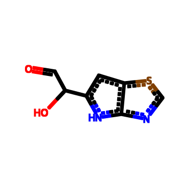 O=CC(O)c1cc2scnc2[nH]1